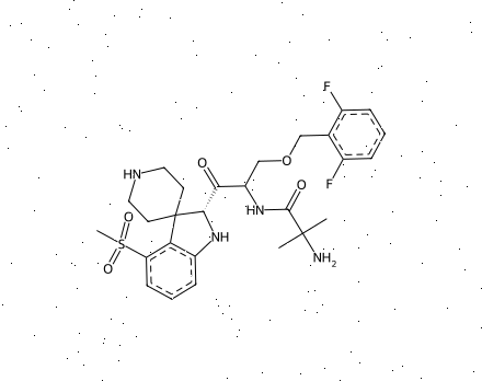 CC(C)(N)C(=O)NC(COCc1c(F)cccc1F)C(=O)[C@@H]1Nc2cccc(S(C)(=O)=O)c2C12CCNCC2